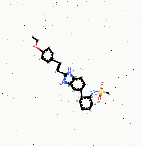 CCOc1ccc(C=Cc2nc3cc(-c4ccccc4NS(C)(=O)=O)ccc3[nH]2)cc1